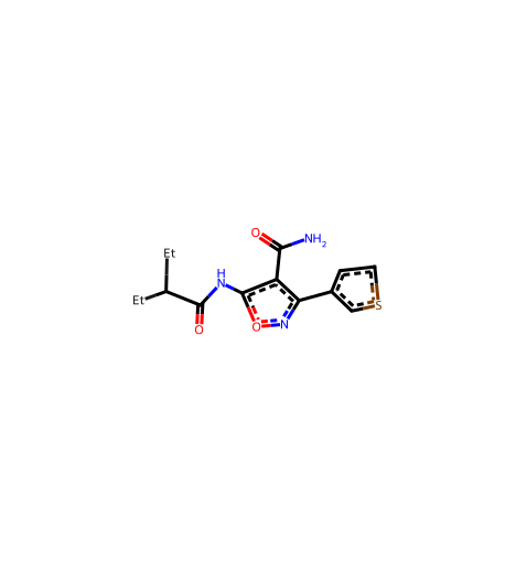 CCC(CC)C(=O)Nc1onc(-c2ccsc2)c1C(N)=O